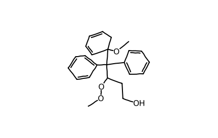 COOC(CCO)C(c1ccccc1)(c1ccccc1)C1(OC)C=CC=CC1